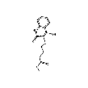 COC(=O)CCCSc1c(O)c2ccccc2[nH]c1=O